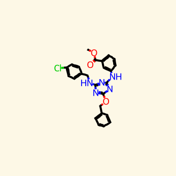 COC(=O)c1cccc(Nc2nc(NCc3ccc(Cl)cc3)nc(OCc3ccccc3)n2)c1